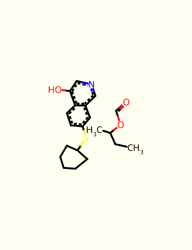 CCC(C)OC=O.Oc1cncc2cc(SC3CCCCC3)ccc12